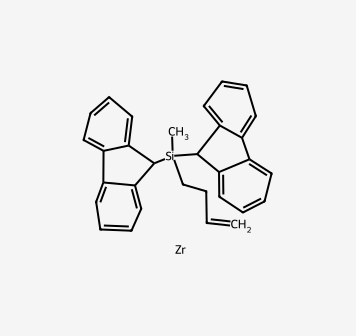 C=CCC[Si](C)(C1c2ccccc2-c2ccccc21)C1c2ccccc2-c2ccccc21.[Zr]